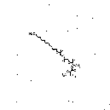 CCCCCCCCCCCCOC(=O)COC(=O)COC(=O)C(C)OC(=O)C(C)OC